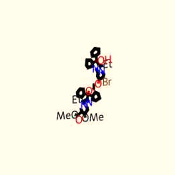 CCc1c(C(O)(c2ccccc2)c2ccccc2)nc2cc(OCCOC(c3ccccc3)(c3ccccc3)c3nc4cc(OC)c(C(=O)OC)cn4c3CC)c(Br)cn12